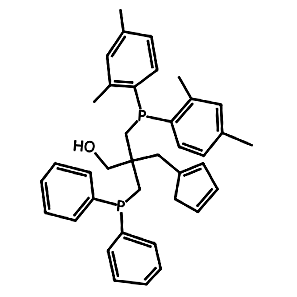 Cc1ccc(P(CC(CO)(CC2=CC=CC2)CP(c2ccccc2)c2ccccc2)c2ccc(C)cc2C)c(C)c1